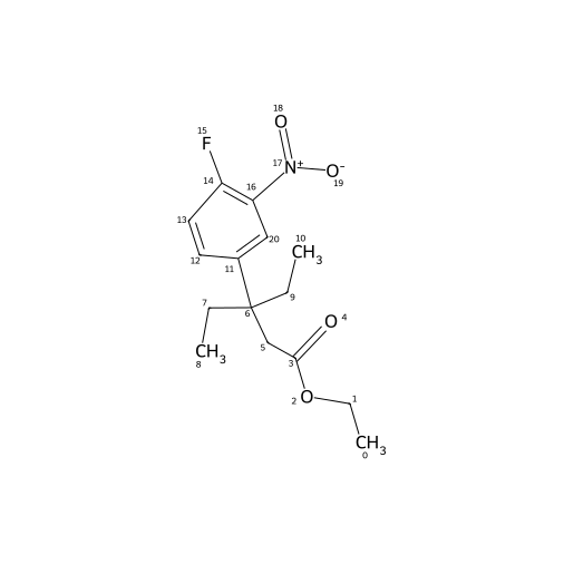 CCOC(=O)CC(CC)(CC)c1ccc(F)c([N+](=O)[O-])c1